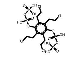 O=P(O)(O)OP(=O)(O)Oc1c(CCCl)c(CCCl)c(OP(=O)(O)OP(=O)(O)O)c(CCCl)c1CCCl